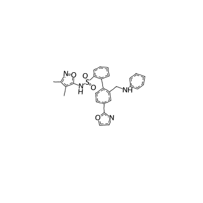 Cc1noc(NS(=O)(=O)c2ccccc2-c2ccc(-c3ncco3)cc2CNc2ccccc2)c1C